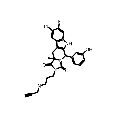 C#CCNCCCN1C(=O)N2C(c3cccc(O)c3)c3[nH]c4cc(F)c(Cl)cc4c3CC2(C)C1=O